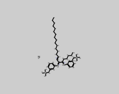 CCCCCCCCCCCCCC/C=C/C(=N\c1cccc(C[Si](C)(C)C)c1)C(/CCCCC)=N/c1cccc(C[Si](C)(C)C)c1.[Ni]